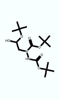 CC(C)(C)OC(=O)NN(CC(O)OC(C)(C)C)C(=O)OC(C)(C)C